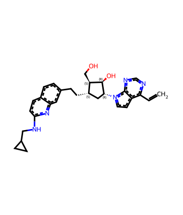 C=Cc1ncnc2c1ccn2[C@@H]1C[C@H](CCc2ccc3ccc(NCC4CC4)nc3c2)[C@@H](CO)[C@H]1O